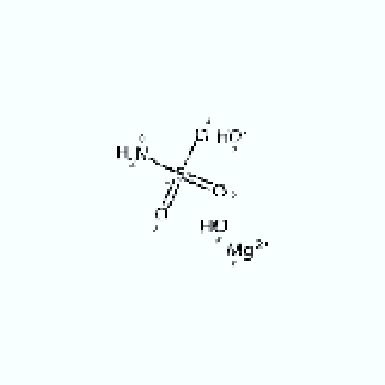 NS(=O)(=O)Cl.[Mg+2].[OH-].[OH-]